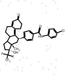 C[C@]12C[C@H](c3ccc(C(=O)Nc4ccc(Cl)cc4)cc3)C3=C4CCC(=O)C=C4CCC3C1CC[C@]2(O)C(F)(F)C(F)(F)F